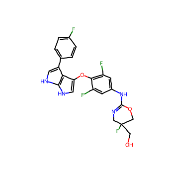 OCC1(F)CN=C(Nc2cc(F)c(Oc3c[nH]c4[nH]cc(-c5ccc(F)cc5)c34)c(F)c2)OC1